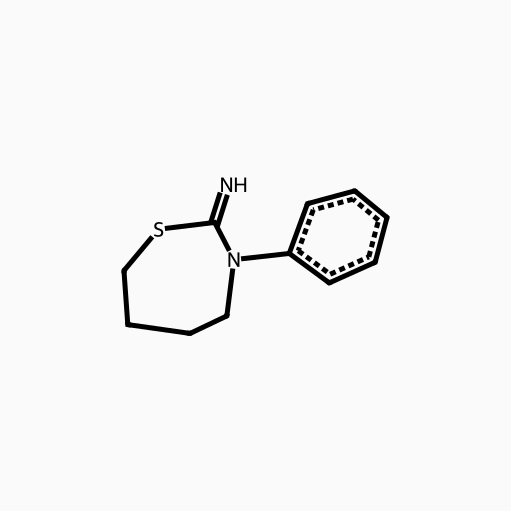 N=C1SCCCCN1c1ccccc1